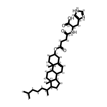 CC(C)CCCC(C)C1CCC2C3CC=C4CC(OC(=O)CCC(=O)NC(Cc5c[nH]cn5)C(=O)O)CCC4(C)C3CCC12C